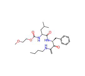 C=C(NCCCC)C(=O)[C@H](Cc1ccccc1)NC(=O)C(CC(C)C)NC(=O)OCCOC